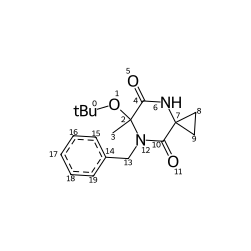 CC(C)(C)OC1(C)C(=O)NC2(CC2)C(=O)N1Cc1ccccc1